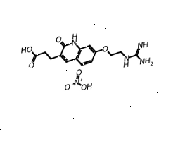 N=C(N)NCCOc1ccc2cc(CCC(=O)O)c(=O)[nH]c2c1.O=[N+]([O-])O